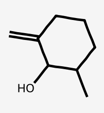 C=C1CCCC(C)C1O